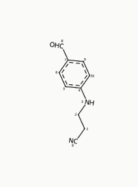 N#CCCNc1ccc(C=O)cc1